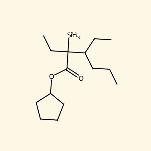 CCCC(CC)C([SiH3])(CC)C(=O)OC1CCCC1